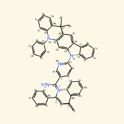 C=C(/C=C(\N=C(/N)c1ccc(-n2c3ccccc3c3cc4c(cc32)N(c2ccccc2)c2ccccc2C4(C)C)nc1)c1ccccc1)c1ccccc1